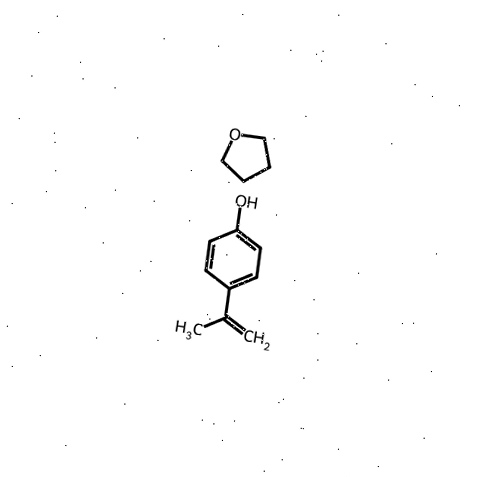 C1CCOC1.C=C(C)c1ccc(O)cc1